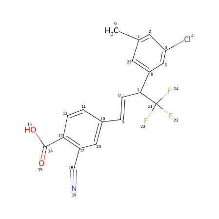 Cc1cc(Cl)cc(C(/C=C/c2ccc(C(=O)O)c(C#N)c2)C(F)(F)F)c1